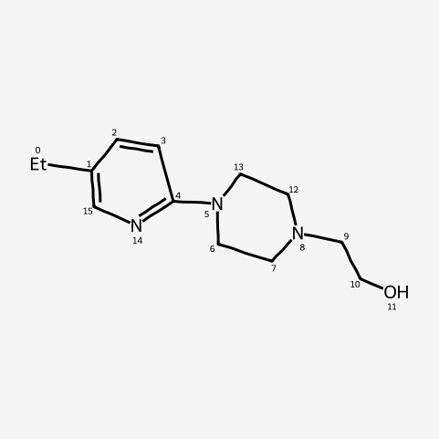 CCc1ccc(N2CCN(CCO)CC2)nc1